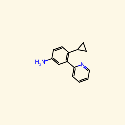 Nc1ccc(C2CC2)c(-c2ccccn2)c1